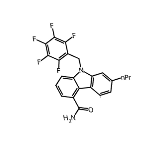 CCCc1c[c]c2c3c(C(N)=O)cccc3n(Cc3c(F)c(F)c(F)c(F)c3F)c2c1